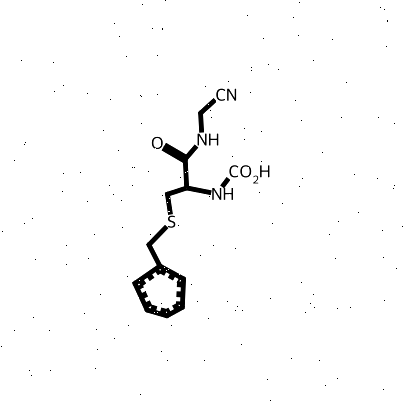 N#CCNC(=O)C(CSCc1ccccc1)NC(=O)O